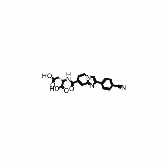 N#Cc1ccc(-c2cn3ccc(C(=O)N[C@@H](CC(=O)O)C(=O)O)cc3n2)cc1